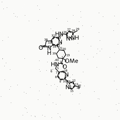 CO[C@]1(C(=O)N[C@@H](C)c2ccc(-n3cc(F)cn3)nc2)CC[C@H](c2nc(Nc3cc(C)[nH]n3)cc3c2NC(=O)C3)CC1